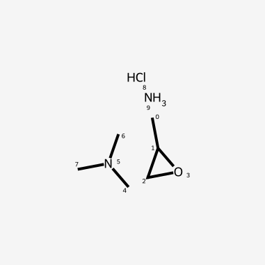 CC1CO1.CN(C)C.Cl.N